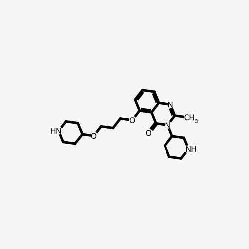 Cc1nc2cccc(OCCCOC3CCNCC3)c2c(=O)n1C1CCCNC1